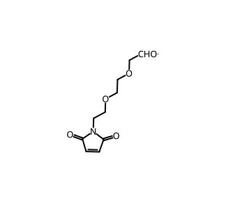 O=[C]COCCOCCN1C(=O)C=CC1=O